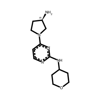 N[C@@H]1CCN(c2ccnc(NC3CCOCC3)n2)C1